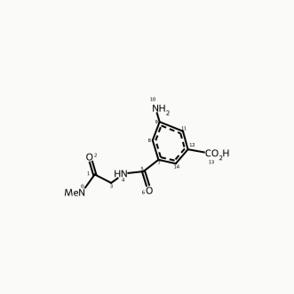 CNC(=O)CNC(=O)c1cc(N)cc(C(=O)O)c1